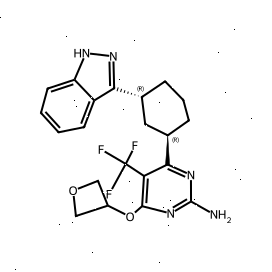 Nc1nc(OC2COC2)c(C(F)(F)F)c([C@@H]2CCC[C@@H](c3n[nH]c4ccccc34)C2)n1